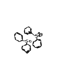 C=O.c1ccc([Se]c2ccccc2)cc1.c1ccc([Se]c2ccccc2)cc1